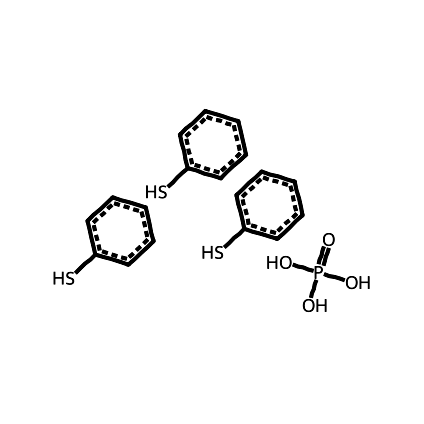 O=P(O)(O)O.Sc1ccccc1.Sc1ccccc1.Sc1ccccc1